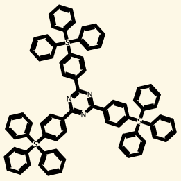 c1ccc(S(c2ccccc2)(c2ccccc2)c2ccc(-c3nc(-c4ccc(S(c5ccccc5)(c5ccccc5)c5ccccc5)cc4)nc(-c4ccc(S(c5ccccc5)(c5ccccc5)c5ccccc5)cc4)n3)cc2)cc1